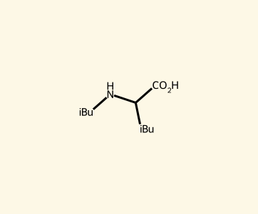 CCC(C)NC(C(=O)O)C(C)CC